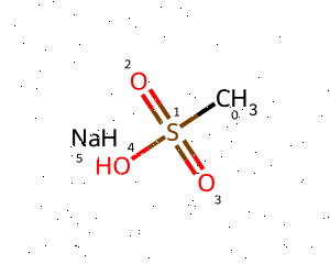 CS(=O)(=O)O.[NaH]